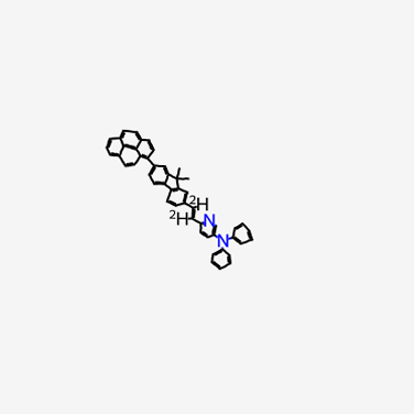 [2H]/C(=C(/[2H])c1ccc(N(c2ccccc2)c2ccccc2)cn1)c1ccc2c(c1)C(C)(C)c1cc(-c3ccc4ccc5cccc6ccc3c4c56)ccc1-2